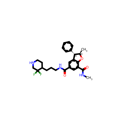 CNC(=O)c1cc(C(=O)NCCCC2CCNCC2(F)F)cc2c1O[C@H](C)[C@H]2c1ccccc1